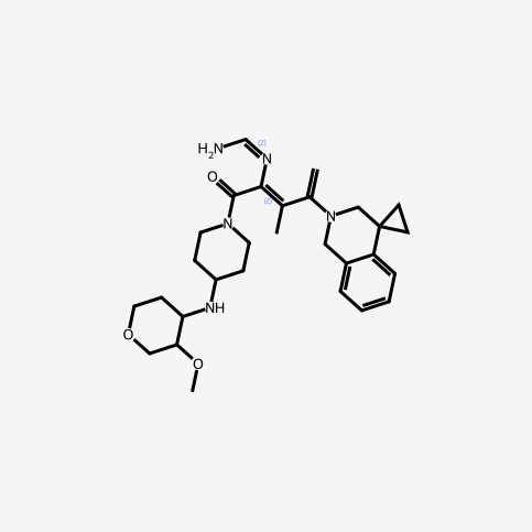 C=C(/C(C)=C(\N=C/N)C(=O)N1CCC(NC2CCOCC2OC)CC1)N1Cc2ccccc2C2(CC2)C1